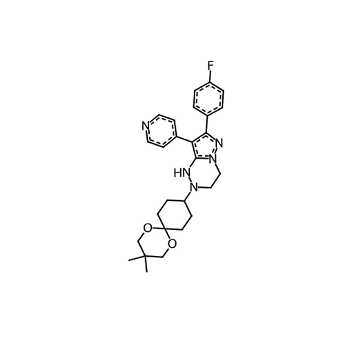 CC1(C)COC2(CCC(N3CCn4nc(-c5ccc(F)cc5)c(-c5ccncc5)c4N3)CC2)OC1